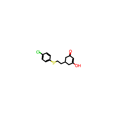 O=C1C=C(O)CC(CCSc2ccc(Cl)cc2)C1